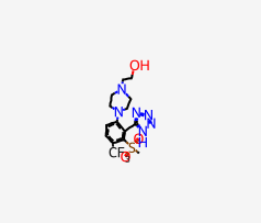 CS(=O)(=O)c1c(C(F)(F)F)ccc(N2CCN(CCO)CC2)c1-c1nnn[nH]1